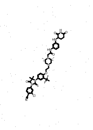 C[C@@H]1CN(CCOc2ccc(N3C(=S)N(c4ccc(C#N)c(Cl)c4)C(=O)C3(C)C)cc2C(C)(F)F)C[C@H](C)N1CC(=O)Nc1cccc(NC2CCC(=O)NC2=O)c1